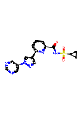 O=C(NS(=O)(=O)C1CC1)c1cccc(-c2cnn(-c3cncnc3)c2)n1